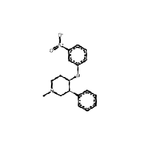 CN1CC[C@@H](Oc2cccc([N+](=O)[O-])c2)[C@@H](c2ccccc2)C1